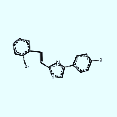 Brc1ccc(-c2csc(C=Cc3ccccc3Br)n2)cc1